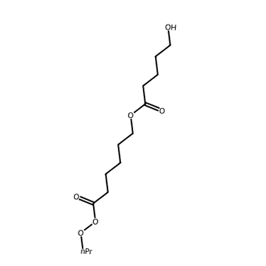 CCCOOC(=O)CCCCCOC(=O)CCCCO